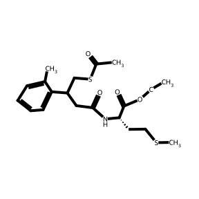 CCOC(=O)[C@H](CCSC)NC(=O)CC(CSC(C)=O)c1ccccc1C